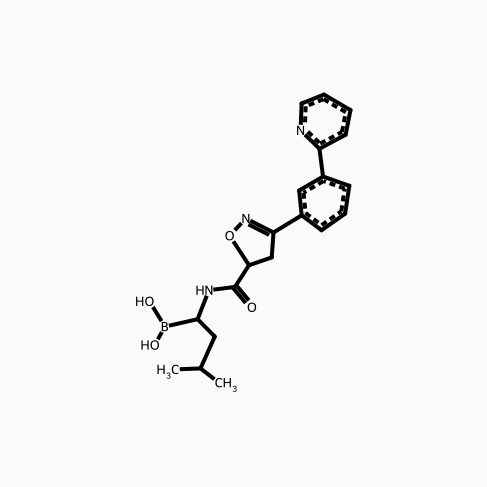 CC(C)CC(NC(=O)C1CC(c2cccc(-c3ccccn3)c2)=NO1)B(O)O